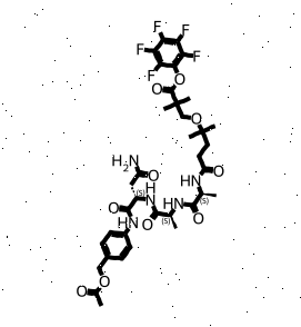 CC(=O)OCc1ccc(NC(=O)[C@H](CC(N)=O)NC(=O)[C@H](C)NC(=O)[C@H](C)NC(=O)CCC(C)(C)OCC(C)(C)C(=O)Oc2c(F)c(F)c(F)c(F)c2F)cc1